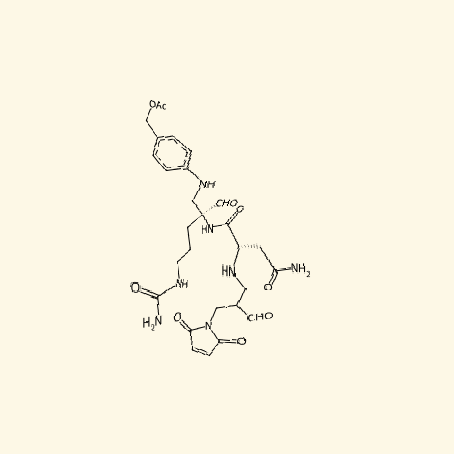 CC(=O)OCc1ccc(NC[C@](C=O)(CCCNC(N)=O)NC(=O)[C@H](CC(N)=O)NCC(C=O)CN2C(=O)C=CC2=O)cc1